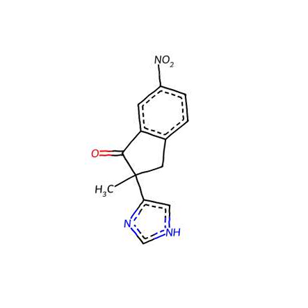 CC1(c2c[nH]cn2)Cc2ccc([N+](=O)[O-])cc2C1=O